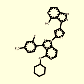 Oc1nccc2[nH]nc(-c3coc(-n4nc(-c5ccc(C(F)(F)F)cc5F)c5c(NC6CCCCC6)nccc54)c3)c12